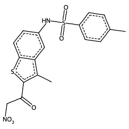 Cc1ccc(S(=O)(=O)Nc2ccc3sc(C(=O)C[N+](=O)[O-])c(C)c3c2)cc1